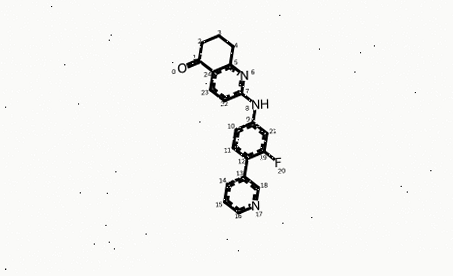 O=C1CCCc2nc(Nc3ccc(-c4cccnc4)c(F)c3)ccc21